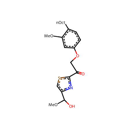 CCCCCCCCc1ccc(OCC(=O)c2nc(C(O)OC)cs2)cc1OC